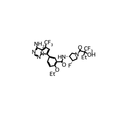 CCOc1ccc(-c2cc(C(F)(F)F)c3c(N)ncnn23)cc1C(=O)N[C@@H]1CN(C(=O)C(O)(CC)C(F)(F)F)C[C@@H]1F